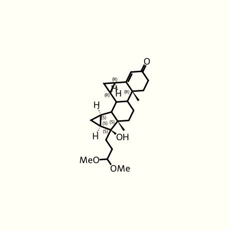 COC(CC[C@]1(O)[C@H]2C[C@H]2C2C3C(CC[C@@]21C)[C@@]1(C)CCC(=O)C=C1[C@@H]1C[C@H]31)OC